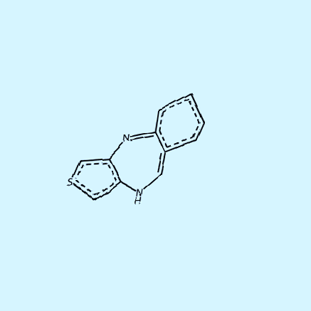 C1=c2ccccc2=Nc2cscc2N1